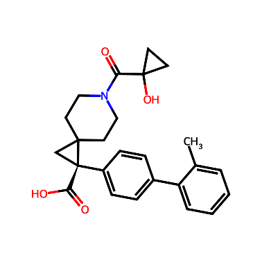 Cc1ccccc1-c1ccc([C@]2(C(=O)O)CC23CCN(C(=O)C2(O)CC2)CC3)cc1